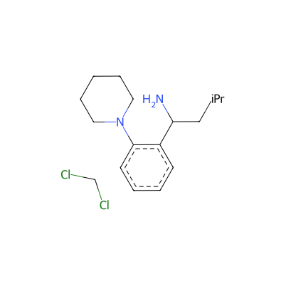 CC(C)CC(N)c1ccccc1N1CCCCC1.ClCCl